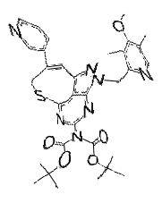 COc1c(C)cnc(Cn2nc3c4c(nc(N(C(=O)OC(C)(C)C)C(=O)OC(C)(C)C)nc42)SCC(c2cccnc2)=C3)c1C